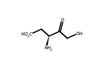 N[C@@H](CC(=O)O)C(=O)[CH]O